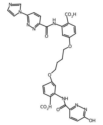 O=C(Nc1cc(OCCCCOc2ccc(C(=O)O)c(NC(=O)c3ccc(-n4ccnc4)nn3)c2)ccc1C(=O)O)c1ccc(O)nn1